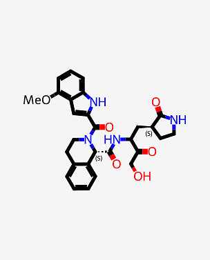 COc1cccc2[nH]c(C(=O)N3CCc4ccccc4[C@H]3C(=O)NC(C[C@@H]3CCNC3=O)C(=O)CO)cc12